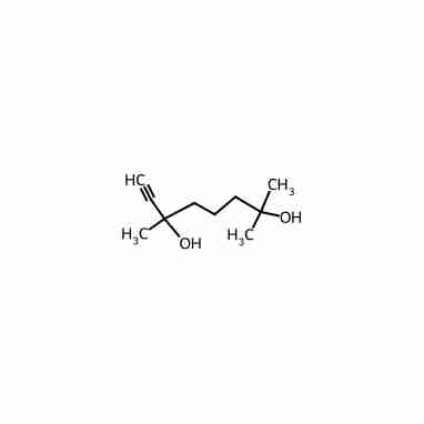 C#CC(C)(O)CCCC(C)(C)O